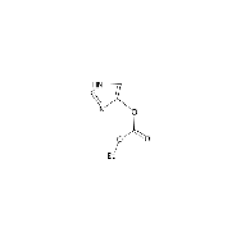 CCOC(=O)Oc1c[nH]cn1